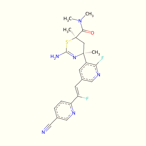 CN(C)C(=O)[C@@]1(C)C[C@@](C)(c2cc(/C=C(\F)c3ccc(C#N)cn3)cnc2F)N=C(N)S1